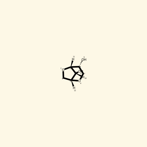 O[C@H]1[C@@H]2OC[C@H]1OC[C@H]2O